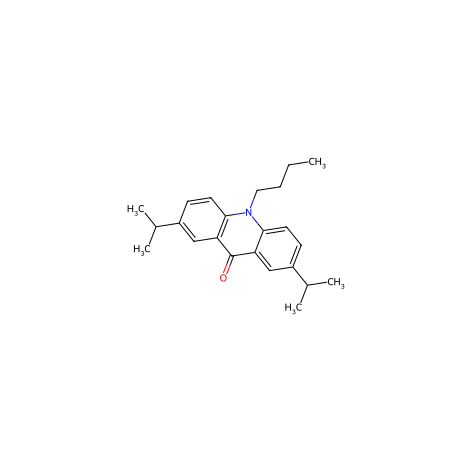 CCCCn1c2ccc(C(C)C)cc2c(=O)c2cc(C(C)C)ccc21